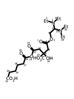 CCN(CC)C(COC(=O)CC(O)(CC(=O)OC(=O)CCCCC(=O)O)C(=O)O)N(CC)CC